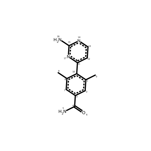 Cc1cc(C(N)=O)cc(C)c1-c1ccnc(N)n1